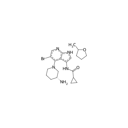 CC1CCCO1.N[C@@H]1CCCN(c2c(Br)cnc3[nH]cc(NC(=O)C4CC4)c23)C1